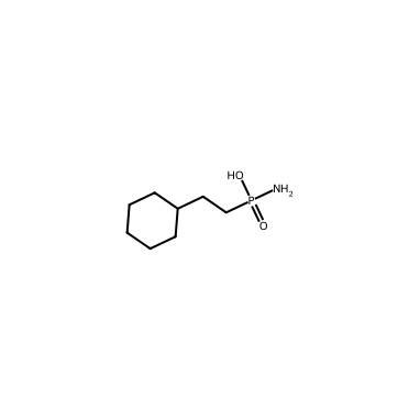 NP(=O)(O)CCC1CCCCC1